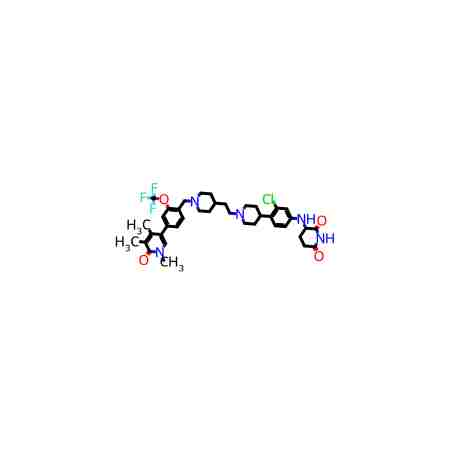 Cc1c(-c2ccc(CN3CCC(CCN4CCC(c5ccc(NC6CCC(=O)NC6=O)cc5Cl)CC4)CC3)c(OC(F)(F)F)c2)cn(C)c(=O)c1C